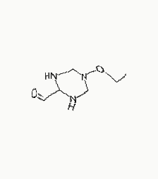 CCON1CNC(C=O)NC1